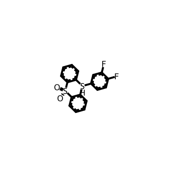 O=S1(=O)c2ccccc2[SH](c2ccc(F)c(F)c2)c2ccccc21